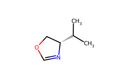 CC(C)[C@H]1COC=N1